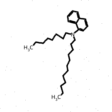 CCCCCCCCCCCCN(CCCCCCCC)c1cccc2ccccc12